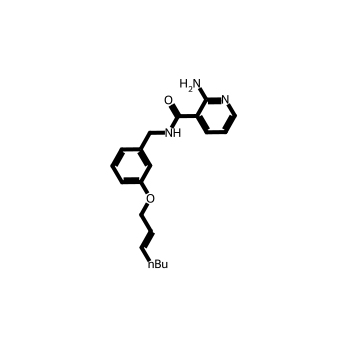 CCCC/C=C/COc1cccc(CNC(=O)c2cccnc2N)c1